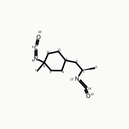 C[C@H](CC1CCC(C)(N=C=O)CC1)N=C=O